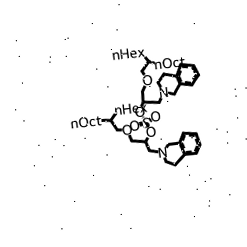 CCCCCCCCC(CCCCCC)COCC(CN1CCc2ccccc2C1)OS(=O)(=O)OC(COCC(CCCCCC)CCCCCCCC)CN1CCc2ccccc2C1